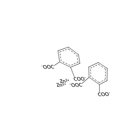 O=C([O-])c1ccccc1C(=O)[O-].O=C([O-])c1ccccc1C(=O)[O-].[Zn+2].[Zn+2]